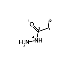 [CH2]CC(=O)NN